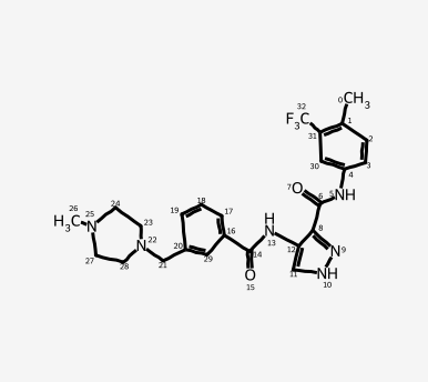 Cc1ccc(NC(=O)c2n[nH]cc2NC(=O)c2cccc(CN3CCN(C)CC3)c2)cc1C(F)(F)F